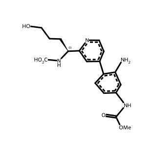 COC(=O)Nc1ccc(-c2ccnc([C@H](CCCO)NC(=O)O)c2)c(N)c1